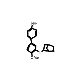 COc1ccc(-c2ccc([NH])cc2)cc1OC1CC2CCC1C2